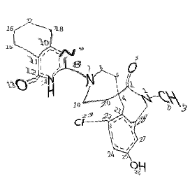 CN1C(=O)C2(CCN(c3nc4c(c(=O)[nH]3)CCCC4)CC2)c2c(Cl)cc(O)cc21